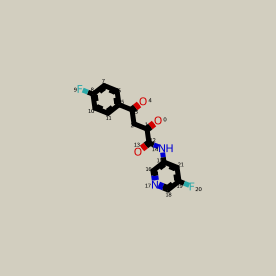 O=C(CC(=O)c1ccc(F)cc1)C(=O)Nc1cncc(F)c1